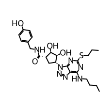 CCCCNc1nc(SCCC)nc2c1nnn2[C@@H]1C[C@H](C(=O)NCc2ccc(O)cc2)[C@@H](O)[C@H]1O